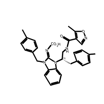 Cc1ccc(C[C@@H](CNC(=O)c2cnoc2C)n2c(=NC(=O)O)n(Cc3ccc(C)cc3)c3ccccc32)cc1